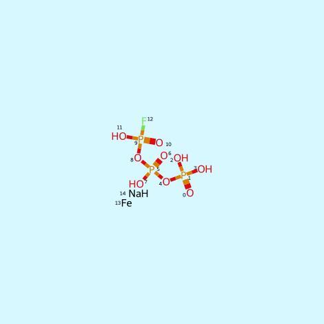 O=P(O)(O)OP(=O)(O)OP(=O)(O)F.[Fe].[NaH]